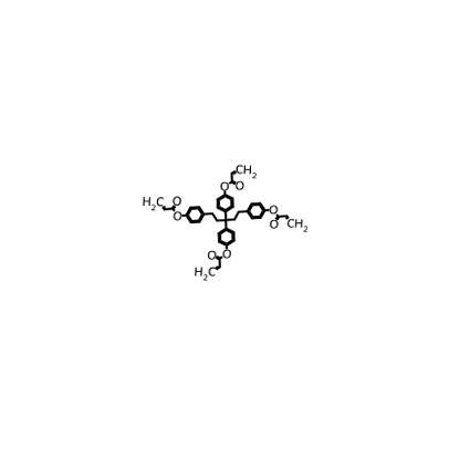 C=CC(=O)Oc1ccc(CCC(CCc2ccc(OC(=O)C=C)cc2)(c2ccc(OC(=O)C=C)cc2)c2ccc(OC(=O)C=C)cc2)cc1